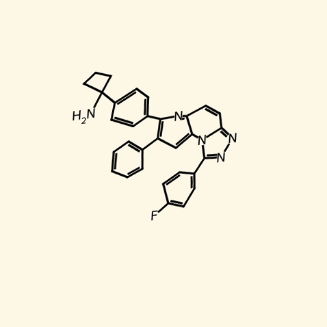 NC1(c2ccc(-c3nc4ccc5nnc(-c6ccc(F)cc6)n5c4cc3-c3ccccc3)cc2)CCC1